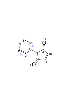 C/C=C\C(=C/C)C1C(=O)C=CC1=O